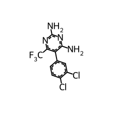 Nc1nc(N)c(-c2ccc(Cl)c(Cl)c2)c(C(F)(F)F)n1